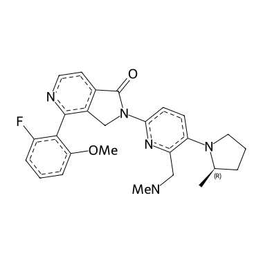 CNCc1nc(N2Cc3c(ccnc3-c3c(F)cccc3OC)C2=O)ccc1N1CCC[C@H]1C